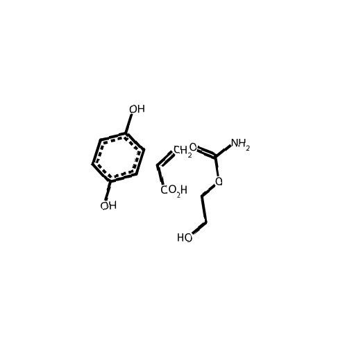 C=CC(=O)O.NC(=O)OCCO.Oc1ccc(O)cc1